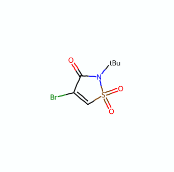 CC(C)(C)N1C(=O)C(Br)=CS1(=O)=O